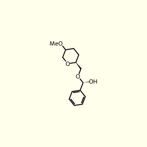 COC1CC[C@@H](CO[C@H](O)c2ccccc2)OC1